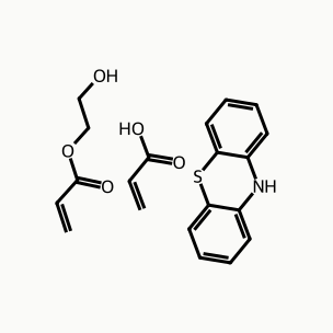 C=CC(=O)O.C=CC(=O)OCCO.c1ccc2c(c1)Nc1ccccc1S2